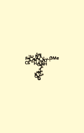 COCCOc1cc2ncnc(Nc3ccc(F)c(Cl)c3)c2cc1NC(=O)C=CCN1CCOC(=O)[C@@H]1C